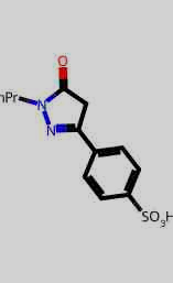 CCCN1N=C(c2ccc(S(=O)(=O)O)cc2)CC1=O